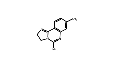 Cc1ccc2c(c1)N=C(N)N1CCN=C21